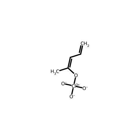 C=CC=C(C)O[Cl+3]([O-])([O-])[O-]